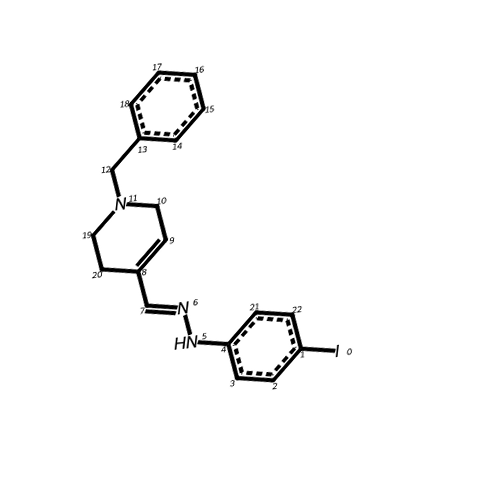 Ic1ccc(NN=CC2=CCN(Cc3ccccc3)CC2)cc1